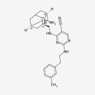 Cc1cccc(CCNc2ncc(C#N)c(NC[C@]34CC5C[C@H](C3)[C@@H](N)[C@@H](C5)C4)n2)c1